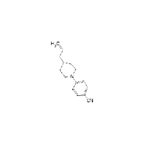 C=CCC1CCN(c2ccc(C#N)cc2)CC1